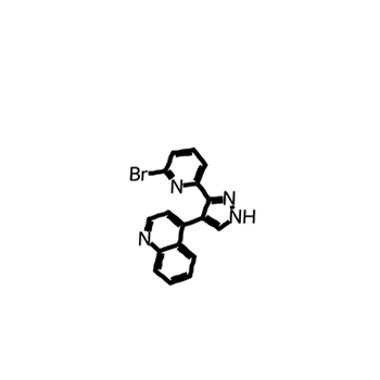 Brc1cccc(-c2n[nH]cc2-c2ccnc3ccccc23)n1